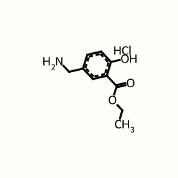 CCOC(=O)c1cc(CN)ccc1O.Cl